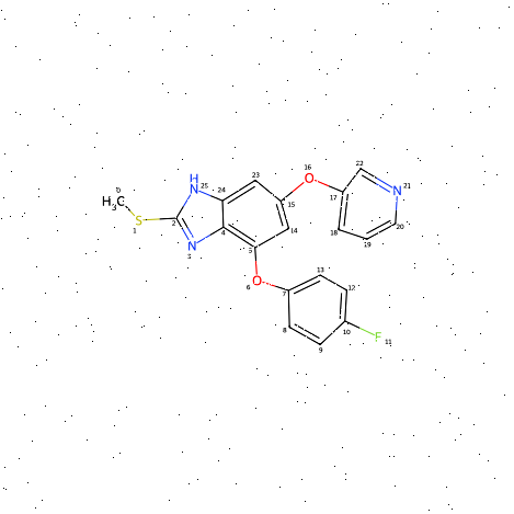 CSc1nc2c(Oc3ccc(F)cc3)cc(Oc3cccnc3)cc2[nH]1